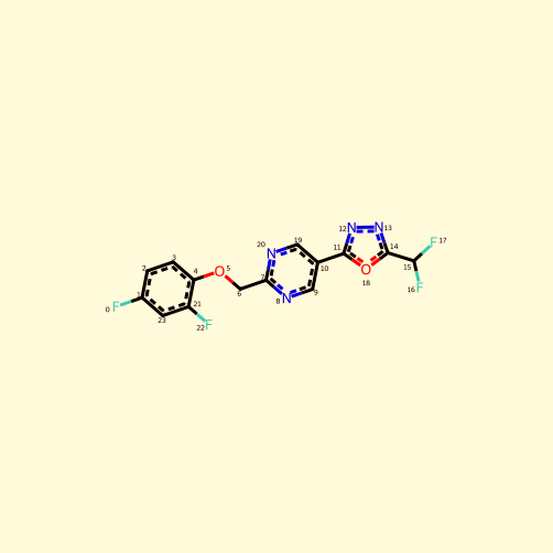 Fc1ccc(OCc2ncc(-c3nnc(C(F)F)o3)cn2)c(F)c1